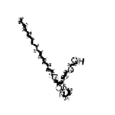 CCCCCCCCCCCCCCCCCCOCC(CSCCOCCO)Oc1ncccn1